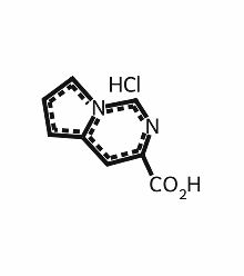 Cl.O=C(O)c1cc2cccn2cn1